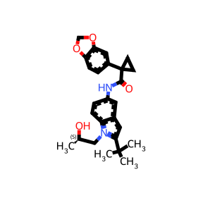 C[C@H](O)Cn1c(C(C)(C)C)cc2cc(NC(=O)C3(c4ccc5c(c4)OCO5)CC3)ccc21